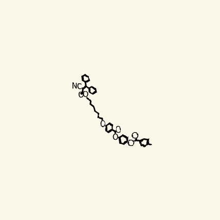 Cc1ccc(C(=O)Oc2ccc(OC(=O)c3ccc(OCCCCCCCCOC(=O)C(C#N)=C(c4ccccc4)c4ccccc4)cc3)cc2)cc1